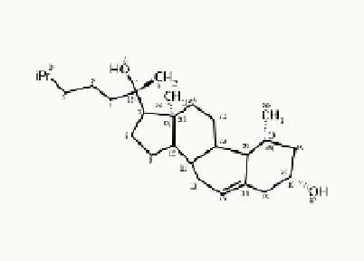 CC(C)CCC[C@](C)(O)C1CCC2C3CC=C4C[C@@H](O)C[C@@H](C)C4C3CC[C@@]21C